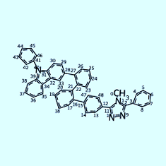 Cn1c(-c2ccccc2)nnc1-c1ccc(-c2ccccc2-c2ccccc2-c2ccc3c(c2)c2ccccc2n3-c2ccccc2)cc1